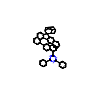 c1ccc(-c2nc(-c3ccccc3)nc(-c3cccc4cc(-c5cccc6ccc7c(c56)-c5cc6ccccc6cc5C75C6CC7CC(C6)CC5C7)ccc34)n2)cc1